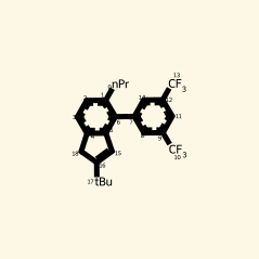 CCCc1ccc2c(c1-c1cc(C(F)(F)F)cc(C(F)(F)F)c1)C=C(C(C)(C)C)[CH]2